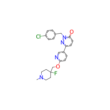 CN1CCC(F)(COc2ccc(-c3ccc(=O)n(Cc4ccc(Cl)cc4)n3)cn2)CC1